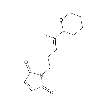 C[SiH](CCCN1C(=O)C=CC1=O)C1CCCCO1